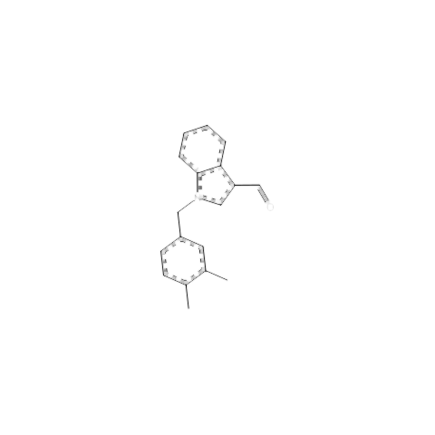 Cc1ccc(Cn2cc(C=O)c3ccccc32)cc1C